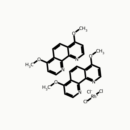 COc1ccnc2c1ccc1c(OC)ccnc12.COc1ccnc2c1ccc1c(OC)ccnc12.[Cl-].[Cl][Rh+][Cl]